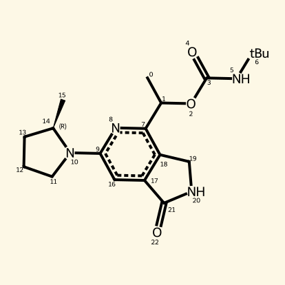 CC(OC(=O)NC(C)(C)C)c1nc(N2CCC[C@H]2C)cc2c1CNC2=O